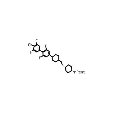 CCCCC[C@H]1CC[C@H](CCC2CCC(c3cc(F)c(-c4cc(F)c(Cl)c(F)c4)c(F)c3)CC2)CC1